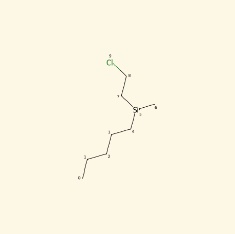 CCCCC[Si](C)CCCl